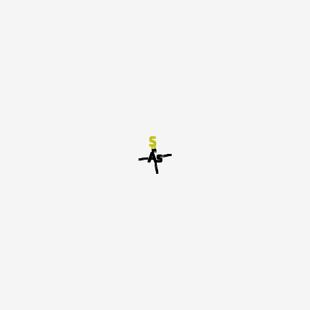 C[As](C)(C)=S